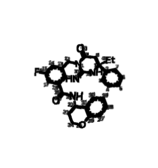 CC[C@]1(c2ccccc2)CC(=O)N(Cc2cc(F)cc(C(=O)N[C@H]3CCOc4ccccc43)c2)C(=N)N1